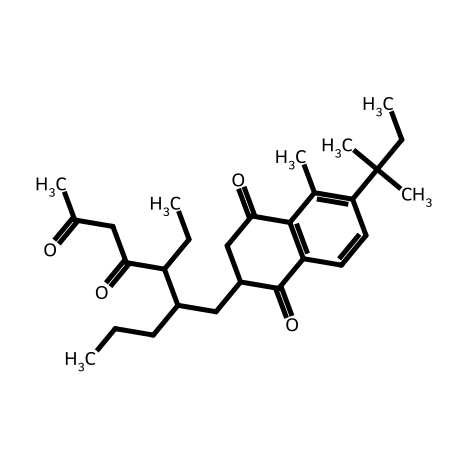 CCCC(CC1CC(=O)c2c(ccc(C(C)(C)CC)c2C)C1=O)C(CC)C(=O)CC(C)=O